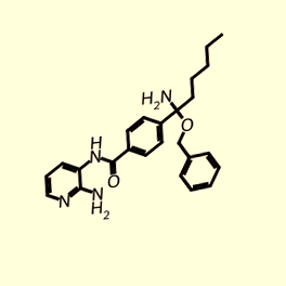 CCCCCC(N)(OCc1ccccc1)c1ccc(C(=O)Nc2cccnc2N)cc1